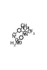 CN(C)c1ccc(C2=CC=NC2)cc1-c1cc(C(F)(F)F)nn1-c1ccc(S(N)(=O)=O)cc1